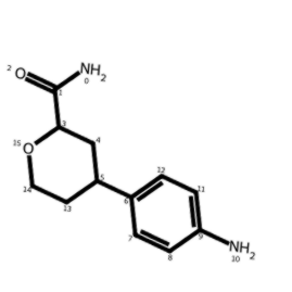 NC(=O)C1CC(c2ccc(N)cc2)CCO1